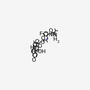 CO[C@]1(C(=O)COC(=O)/C(C)=C\c2cc(F)ccc2NC(=O)[C@@H](N)C(C)C)[C@H](C)C[C@H]2[C@@H]3CCC4=CC(=O)C=C[C@]4(C)[C@@]3(F)[C@@H](O)C[C@@]21C